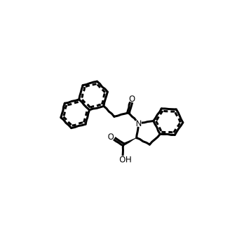 O=C(O)[C@@H]1Cc2ccccc2N1C(=O)Cc1cccc2ccccc12